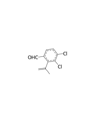 C=C(C)c1c(C=O)ccc(Cl)c1Cl